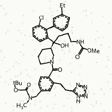 CCc1cccc(-c2c(Cl)cccc2C(O)(CCCNC(=O)OC)[C@@H]2CCCN(C(=O)c3ccc(CN(C)C(=O)OC(C)(C)C)cc3CCc3nnn[nH]3)C2)c1